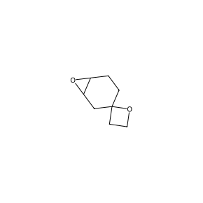 C1CC2(CCC3OC3C2)O1